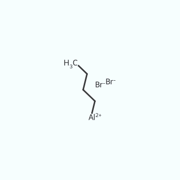 CCC[CH2][Al+2].[Br-].[Br-]